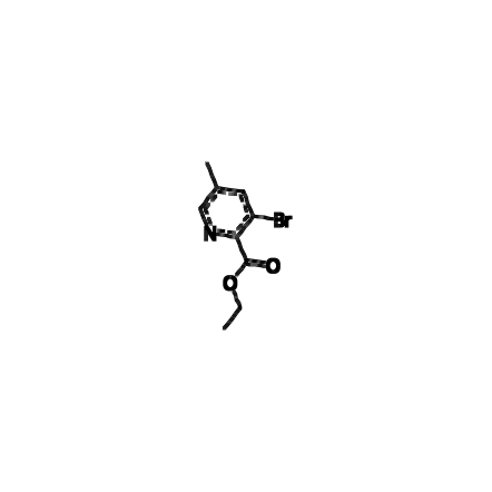 CCOC(=O)c1ncc(C)cc1Br